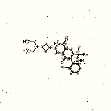 CCN(CC)C1CN(c2nc3c(=O)n(-c4c(N)cccc4F)c(C(F)(F)F)cc3c(=O)[nH]2)C1